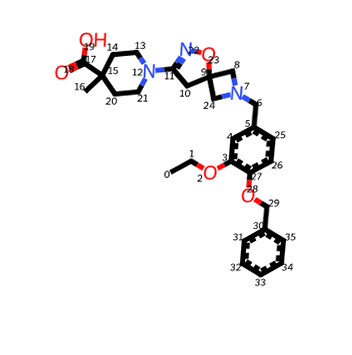 CCOc1cc(CN2CC3(CC(N4CCC(C)(C(=O)O)CC4)=NO3)C2)ccc1OCc1ccccc1